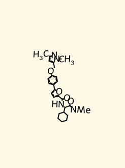 CNC(=O)[C@@H](NC(=O)c1ccc(-c2ccc(OCc3cc(C)nn3C)cc2)o1)C1CCCCC1